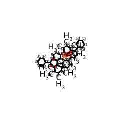 Cc1c(C)c(C)c(-c2cccc(-c3c(C)c(C)c(C)c(C)c3C)c2C2(P(=O)=O)C(c3ccc(-c4ccccc4)cc3)CCCC2c2ccc(-c3ccccc3)cc2)c(C)c1C